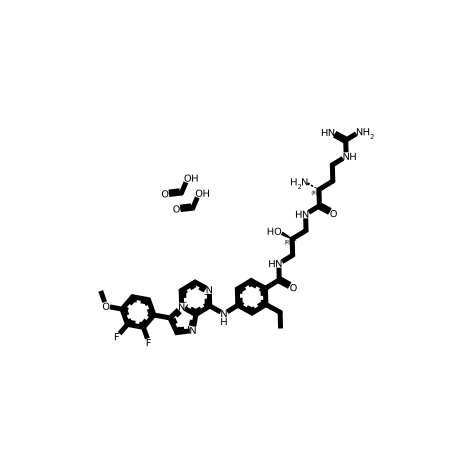 CCc1cc(Nc2nccn3c(-c4ccc(OC)c(F)c4F)cnc23)ccc1C(=O)NC[C@@H](O)CNC(=O)[C@H](N)CCNC(=N)N.O=CO.O=CO